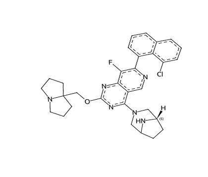 Fc1c(-c2cccc3cccc(Cl)c23)ncc2c(N3CC4CC[C@@H](C3)N4)nc(OCC34CCCN3CCC4)nc12